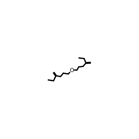 C=C(CC)CCCOCCCC(=C)CC